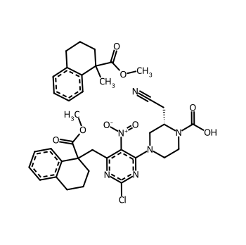 COC(=O)C1(C)CCCc2ccccc21.COC(=O)C1(Cc2nc(Cl)nc(N3CCN(C(=O)O)[C@@H](CC#N)C3)c2[N+](=O)[O-])CCCc2ccccc21